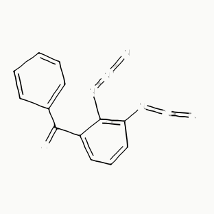 [N-]=[N+]=Nc1cccc(C(=O)c2ccccc2)c1N=[N+]=[N-]